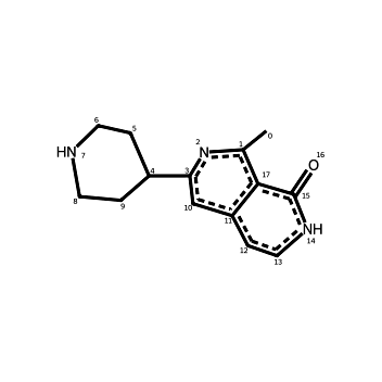 Cc1nc(C2CCNCC2)cc2cc[nH]c(=O)c12